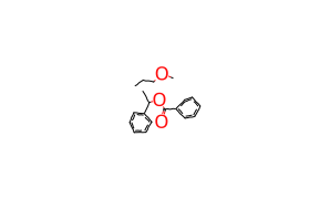 CC(OC(=O)c1ccccc1)c1ccccc1.CCCOC